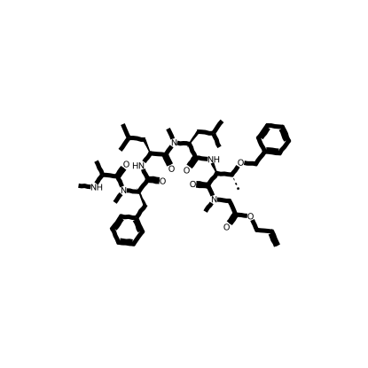 C=CCOC(=O)CN(C)C(=O)[C@@H](NC(=O)[C@H](CC(C)C)N(C)C(=O)[C@H](CC(C)C)NC(=O)[C@@H](Cc1ccccc1)N(C)C(=O)C(C)NC)[C@@H](C)OCc1ccccc1